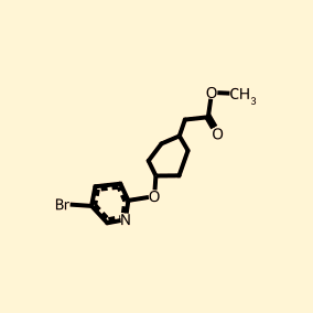 COC(=O)CC1CCC(Oc2ccc(Br)cn2)CC1